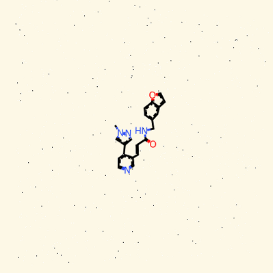 Cn1cc(-c2ccncc2/C=C/C(=O)NCc2ccc3occc3c2)cn1